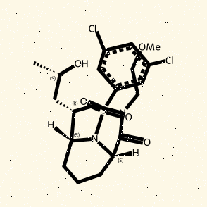 COCCN1C[C@@H](C[C@H](C)O)[C@H]2CCC[C@@H](C1=O)N2S(=O)(=O)c1cc(Cl)cc(Cl)c1